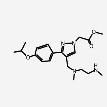 CNCCN(C)Cc1cn(CC(=O)OC)nc1-c1ccc(OC(C)C)cc1